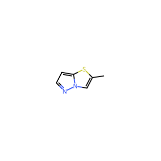 Cc1cn2nccc2s1